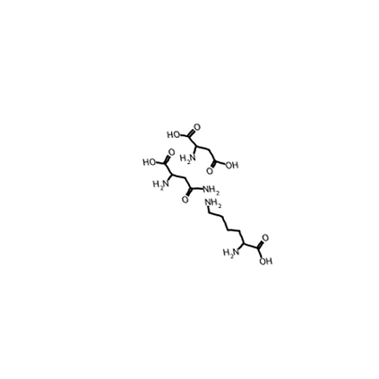 NC(=O)CC(N)C(=O)O.NC(CC(=O)O)C(=O)O.NCCCCC(N)C(=O)O